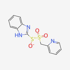 O=S(=O)(Cc1ccccn1)[S+]([O-])c1nc2ccccc2[nH]1